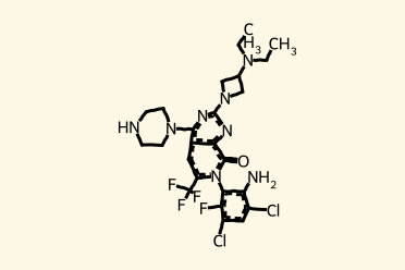 CCN(CC)C1CN(c2nc(N3CCNCC3)c3cc(C(F)(F)F)n(-c4c(N)c(Cl)cc(Cl)c4F)c(=O)c3n2)C1